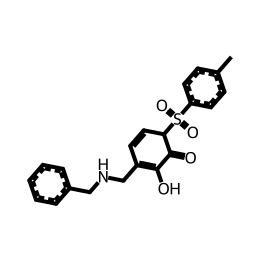 Cc1ccc(S(=O)(=O)C2C=CC(CNCc3ccccc3)=C(O)C2=O)cc1